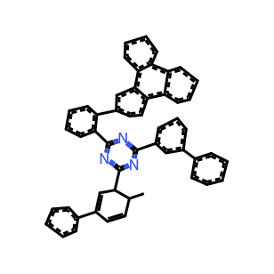 CC1C=CC(c2ccccc2)=CC1c1nc(-c2cccc(-c3ccccc3)c2)nc(-c2ccccc2-c2ccc3c4ccccc4c4ccccc4c3c2)n1